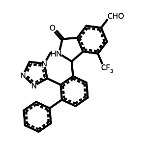 Cn1cnnc1-c1c(-c2ccccc2)cccc1C1NC(=O)c2cc(C=O)cc(C(F)(F)F)c21